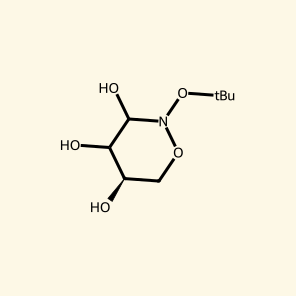 CC(C)(C)ON1OC[C@@H](O)C(O)C1O